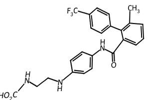 Cc1cccc(C(=O)Nc2ccc(NCCNC(=O)O)cc2)c1-c1ccc(C(F)(F)F)cc1